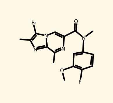 COc1cc(N(C)C(=O)c2cn3c(Br)c(C)nc3c(C)n2)ccc1F